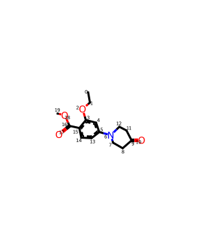 CCOc1cc(N2CCC(=O)CC2)ccc1C(=O)OC